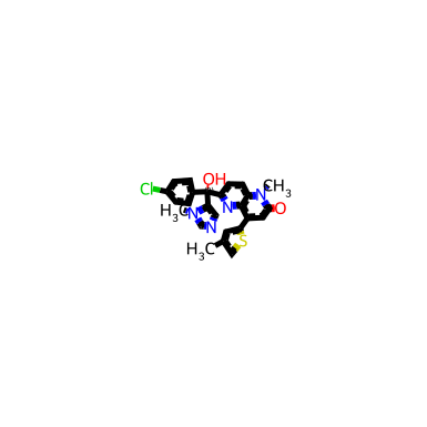 Cc1csc(-c2cc(=O)n(C)c3ccc([C@](O)(c4ccc(Cl)cc4)c4cncn4C)nc23)c1